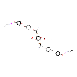 CCCCNOC(=O)c1ccc(OC(=O)C2CCC(OC(=O)C(C#N)=C3Sc4c(OC(C)=O)c5c(c(OC(C)=O)c4S3)SC(=C(C#N)C(=O)OC3CCC(C(=O)Oc4ccc(C(=O)ONCCCC)cc4)CC3)S5)CC2)cc1